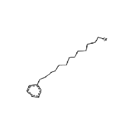 BrCCCCCCCCCCCCCc1ccccc1